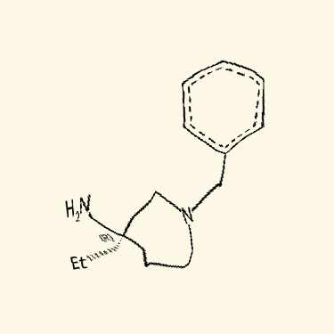 CC[C@@]1(N)CCN(Cc2ccccc2)C1